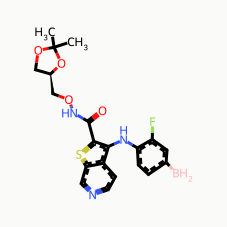 Bc1ccc(Nc2c(C(=O)NOC[C@H]3COC(C)(C)O3)sc3cnccc23)c(F)c1